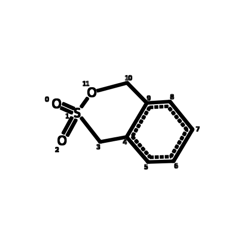 O=S1(=O)Cc2ccccc2CO1